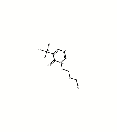 O=c1c(C(F)(F)F)cccn1CCCCCl